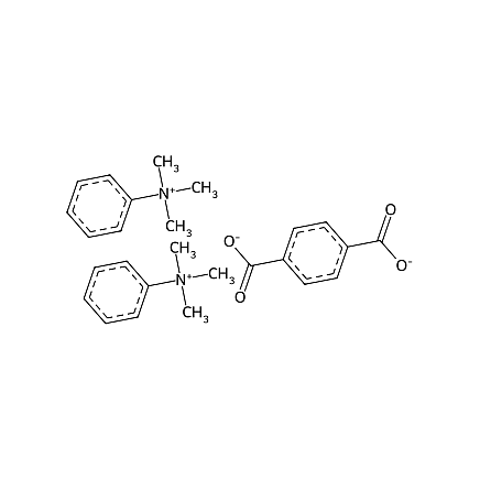 C[N+](C)(C)c1ccccc1.C[N+](C)(C)c1ccccc1.O=C([O-])c1ccc(C(=O)[O-])cc1